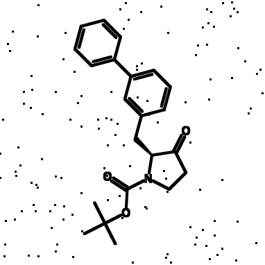 CC(C)(C)OC(=O)N1CCC(=O)[C@@H]1Cc1cccc(-c2ccccc2)c1